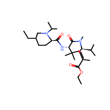 CCOC(=O)/C(C)=C/[C@H](C(C)C)N(C)C(=O)[C@@H](NC(=O)[C@H]1CCC(CC)CN1C(C)C)C(C)(C)C